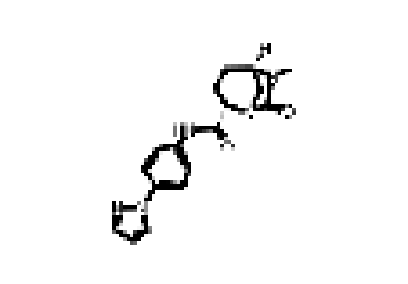 CN1C(=O)N2C[C@H]1CC[C@H]2C(=O)Nc1ccc(-n2cccn2)cc1